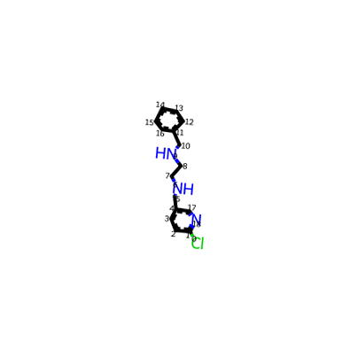 Clc1ccc(CNCCNCc2ccccc2)cn1